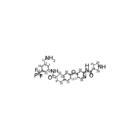 NCc1cc(NC(=O)C2CCc3ccc(Oc4ccnc(NC(=O)[C@H]5CCNC5)c4)cc3C2)cc(C(F)(F)F)c1